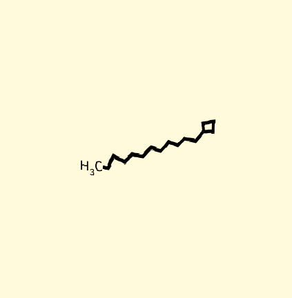 CCCCCCCCCCCCC1CCC1